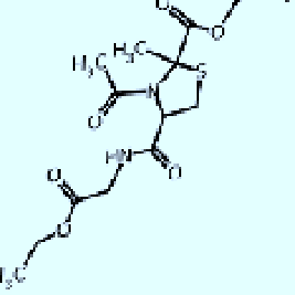 CCOC(=O)CNC(=O)C1CSC(C)(C(=O)OCC)N1C(C)=O